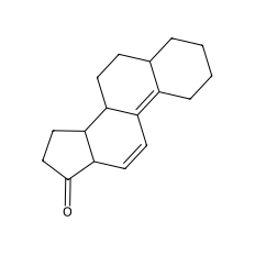 O=C1CCC2C1C=CC1=C3CCCCC3CCC12